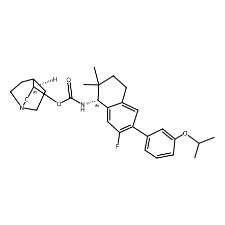 CC(C)Oc1cccc(-c2cc3c(cc2F)[C@H](NC(=O)O[C@H]2CN4CCC2CC4)C(C)(C)CC3)c1